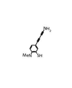 CNc1ccc(C#CC#CN)cc1S